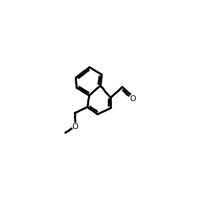 COCc1ccc(C=O)c2ccccc12